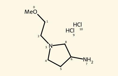 COCCN1CCC(N)C1.Cl.Cl